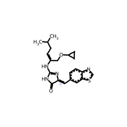 CC(C)CC=C(COC1CC1)NC1=N/C(=C\c2ccc3ncsc3c2)C(=O)N1